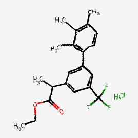 CCOC(=O)C(C)c1cc(-c2ccc(C)c(C)c2C)cc(C(F)(F)F)c1.Cl